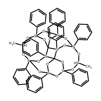 C[SiH]1O[Si]2(c3ccccc3)OC34O[Si](c5ccccc5)(O2)O[Si]2(c5ccccc5)O[SiH](C)O[Si]5(c6ccccc6)OC6(O[Si](c7ccccc7)(O5)O[Si](c5ccccc5)(O1)O[Si]63c1ccccc1)[Si]4(c1ccccc1)O2